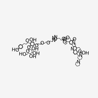 CCc1c2c(nc3ccc(C4CC(N5CCCCC5)CCN4C(=O)O)cc13)-c1cc3c(c(=O)n1C2)COC(=O)[C@@]3(CC)OC(=O)CCc1cn(CCOCCOCCOc2cc(O)c(C(=O)CCc3ccc(O)cc3)c(O[C@@H]3O[C@H](CO)[C@@H](O)C(O)[C@H]3O)c2)nn1